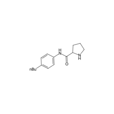 CCCCc1ccc(NC(=O)C2CCCN2)cc1